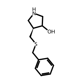 OC1CNC[C@@H]1CSCc1ccccc1